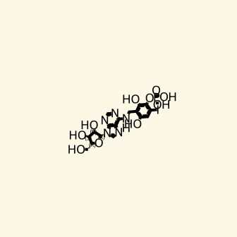 O=P(O)(O)Oc1c(I)cc(O)c(CNc2ncnc3c2ncn3[C@@H]2O[C@H](CO)[C@@H](O)[C@H]2O)c1O